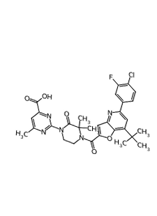 Cc1cc(C(=O)O)nc(N2CCN(C(=O)c3cc4nc(-c5ccc(Cl)c(F)c5)cc(C(C)(C)C)c4o3)C(C)(C)C2=O)n1